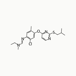 CCN(C)/C=N/c1cc(C)c(Oc2ccnc(SCC(C)C)n2)cc1Cl